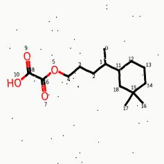 CC(CCCOC(=O)C(=O)O)C1CCCC(C)(C)C1